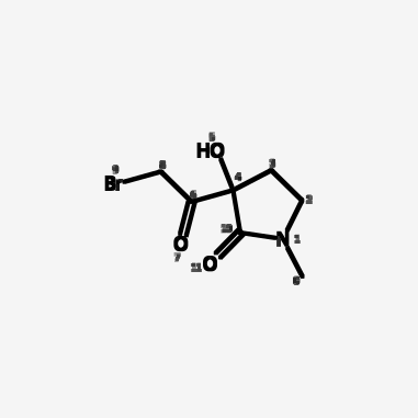 CN1CCC(O)(C(=O)CBr)C1=O